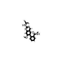 CNC(=O)c1ccccc1-c1cc2cnc(NC(C)C)nc2cc1OC